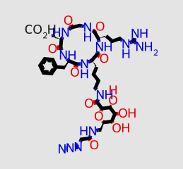 [N-]=[N+]=NCC(=O)NC[C@H]1OC(C(=O)NCCCC[C@@H]2NC(=O)[C@@H](Cc3ccccc3)NC(=O)[C@H](CC(=O)O)NC(=O)CNC(=O)[C@H](CCCNC(=N)N)NC2=O)[C@@H](O)C(O)C1O